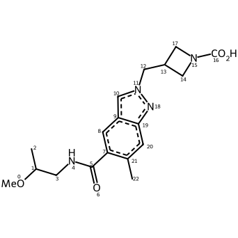 COC(C)CNC(=O)c1cc2cn(CC3CN(C(=O)O)C3)nc2cc1C